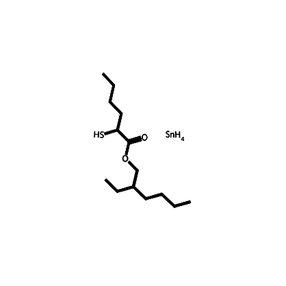 CCCCC(CC)COC(=O)C(S)CCCC.[SnH4]